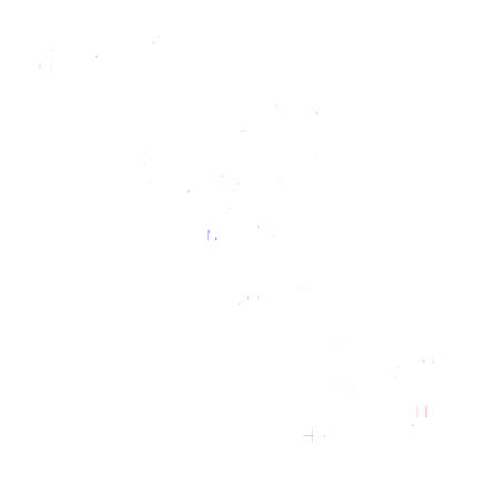 CCOC(Cc1ccc(OCCN(CCCOCc2cc(Cl)cc(Cl)c2)C(=O)Oc2ccc(Cl)cc2)cc1)C(=O)O